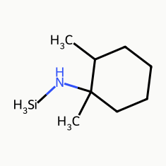 CC1CCCCC1(C)N[SiH3]